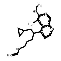 C=CNCCCC(CC1CC1)c1ccnc2cnc(NC)c(C)c12